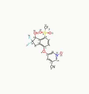 N#Cc1cc(Oc2ccc(S(=O)(=O)C(F)(F)F)c3c2CC(F)(F)C3O)c[n+]([O-])c1